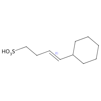 O=S(=O)(O)CC/C=C/C1CCCCC1